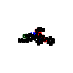 COc1cc(C[C@H](NC(=O)OC(C)(C)C)C(=O)N2CCC[C@@H]2C(=O)OCc2ccccc2)ccc1Cl